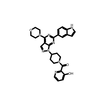 O=C(c1ncccc1O)N1CCC(n2ncc3c(N4CCOCC4)nc(-c4ccc5[nH]ccc5c4)nc32)CC1